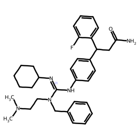 CN(C)CCN(Cc1ccccc1)/C(=N\C1CCCCC1)Nc1ccc(C(CC(N)=O)c2ccccc2F)cc1